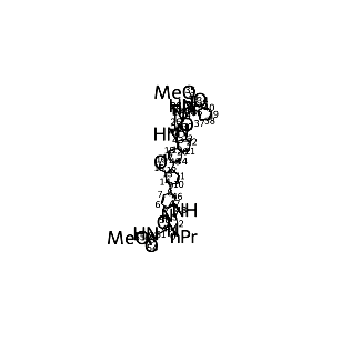 CCCN(Cc1nc2ccc(-c3ccc4c(c3)COc3cc5c(ccc6nc(CN(CCC)C(=O)[C@H](NC(=O)OC)c7ccccc7)[nH]c65)cc3-4)cc2[nH]1)C(=O)CNC(=O)OC